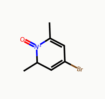 CC1=CC(Br)=CC(C)[N+]1=O